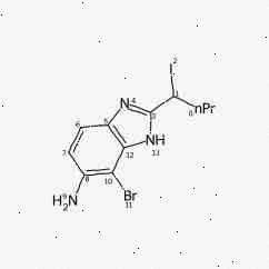 CCCC(I)c1nc2ccc(N)c(Br)c2[nH]1